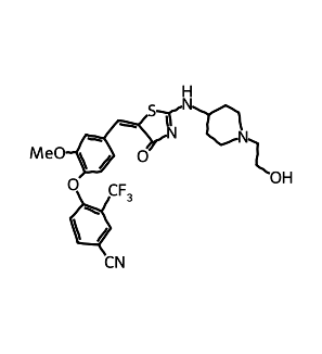 COc1cc(C=C2SC(NC3CCN(CCO)CC3)=NC2=O)ccc1Oc1ccc(C#N)cc1C(F)(F)F